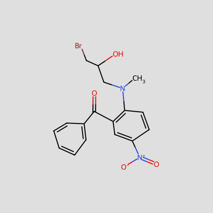 CN(CC(O)CBr)c1ccc([N+](=O)[O-])cc1C(=O)c1ccccc1